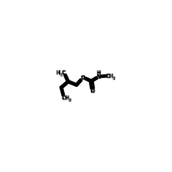 CC[C](C)COC(=O)NC